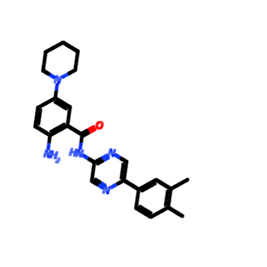 Cc1ccc(-c2cnc(NC(=O)c3cc(N4CCCCC4)ccc3N)cn2)cc1C